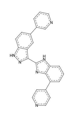 c1cncc(-c2ccc3[nH]nc(-c4nc5c(-c6ccncc6)cccc5[nH]4)c3c2)c1